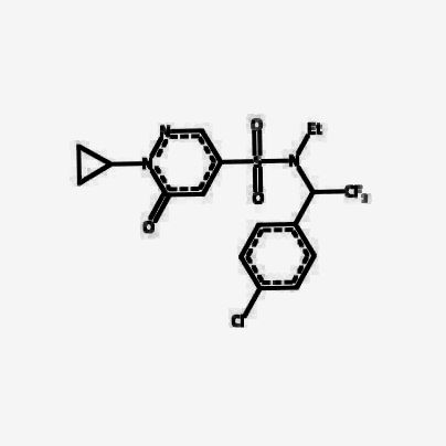 CCN(C(c1ccc(Cl)cc1)C(F)(F)F)S(=O)(=O)c1cnn(C2CC2)c(=O)c1